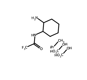 CC(C)C.NC1CCCCC1NC(=O)C(F)(F)F.O=C(O)O.O=C(O)O